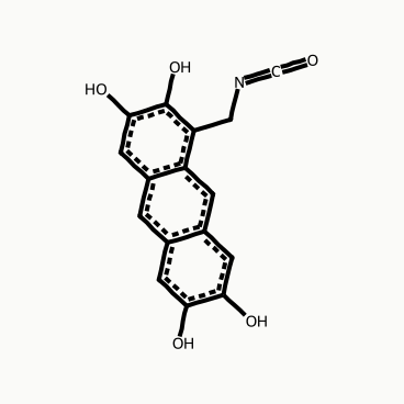 O=C=NCc1c(O)c(O)cc2cc3cc(O)c(O)cc3cc12